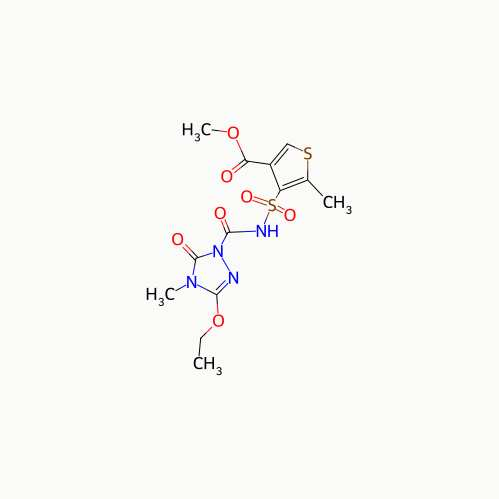 CCOc1nn(C(=O)NS(=O)(=O)c2c(C(=O)OC)csc2C)c(=O)n1C